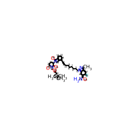 Cc1nn(CCCCCCCC#Cc2cccc3c2CN(C2CCC(=O)N(COCC[Si](C)(C)C)C2=O)C3=O)c2cc(C(N)=O)c(F)cc12